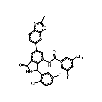 Cc1nc2ccc(-c3cc(NC(=O)c4cc(F)cc(C(F)(F)F)c4)c4c(c3)C(=O)NC4c3cc(F)ccc3Cl)cc2o1